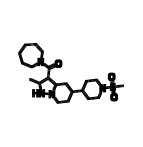 CC1NN2CCC(C3CCN(S(C)(=O)=O)CC3)CC2C1C(=O)N1CCCCCC1